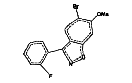 COc1cc2onc(-c3ccccc3F)c2cc1Br